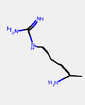 CC(N)CCCNC(=N)N